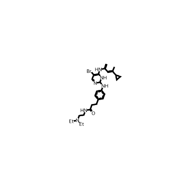 C=C(/C=C(\C)C1CC1)NC1=C(Br)C=NC(Nc2ccc(CCC(=O)NCCN(CC)CC)cc2)N1